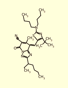 CCCCC(CC)c1nc2/c(=C/c3sc(N(CCCC)CCCC)nc3C(C)(C)C)c(C)c(C#N)c(=O)n2n1